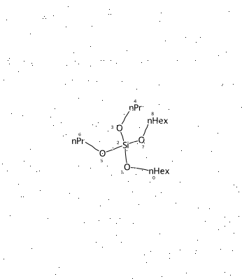 CCCCCCO[Si](OCCC)(OCCC)OCCCCCC